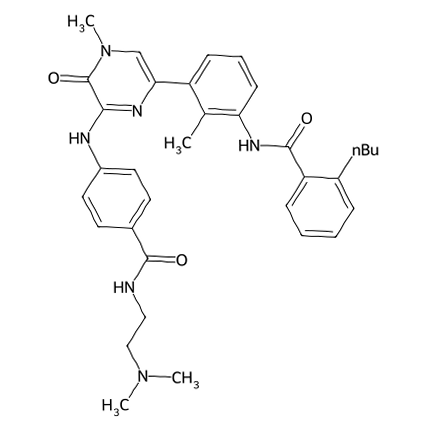 CCCCc1ccccc1C(=O)Nc1cccc(-c2cn(C)c(=O)c(Nc3ccc(C(=O)NCCN(C)C)cc3)n2)c1C